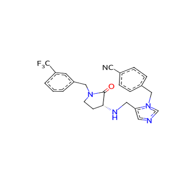 N#Cc1ccc(Cn2cncc2CN[C@@H]2CCN(Cc3cccc(C(F)(F)F)c3)C2=O)cc1